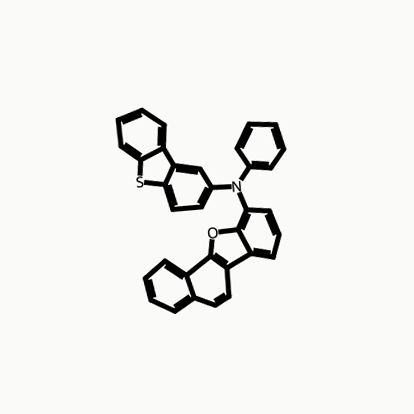 c1ccc(N(c2ccc3sc4ccccc4c3c2)c2cccc3c2oc2c4ccccc4ccc32)cc1